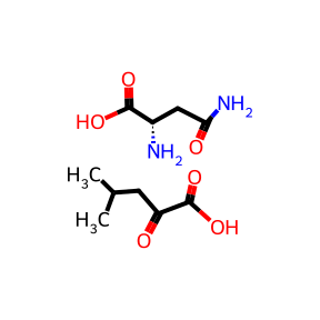 CC(C)CC(=O)C(=O)O.NC(=O)C[C@H](N)C(=O)O